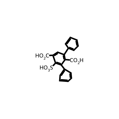 O=C(O)c1cc(-c2ccccc2)c(C(=O)O)c(-c2ccccc2)c1S(=O)(=O)O